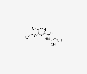 CC(CO)NC(=O)c1cc(OCC2CC2)c(Cl)cn1